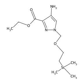 CCOC(=O)c1nn(COCC[Si](C)(C)C)cc1N